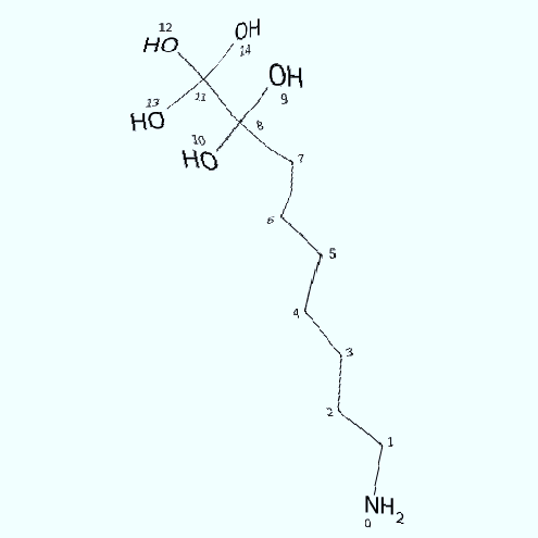 NCCCCCCCC(O)(O)C(O)(O)O